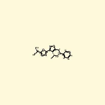 CCSN(Cc1cc(-c2nnc(C(F)F)o2)no1)c1cccnc1